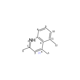 CC(=N)/C=C(/C)c1ccccc1C